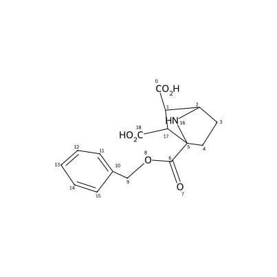 O=C(O)C1C2CCC(C(=O)OCc3ccccc3)(N2)C1C(=O)O